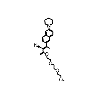 C=C(OCCOCCOCCOC)/C(C#N)=C(\C)c1ccc2cc(N3CCCCC3)ccc2c1